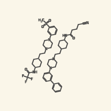 CS(=O)(=O)c1cccc(N2CCN(CCC3CCC(NC(=O)C(F)(F)F)CC3)CC2)c1.N#CCCCC(=O)NC1CCC(CCN2CCN(c3cccc(-c4ccccc4)c3)CC2)CC1